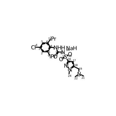 CC(C)c1cc(Cl)cc(C(C)C)c1NC(=O)NS(=O)(=O)c1cc(CN(C)C)n(C)n1.[NaH]